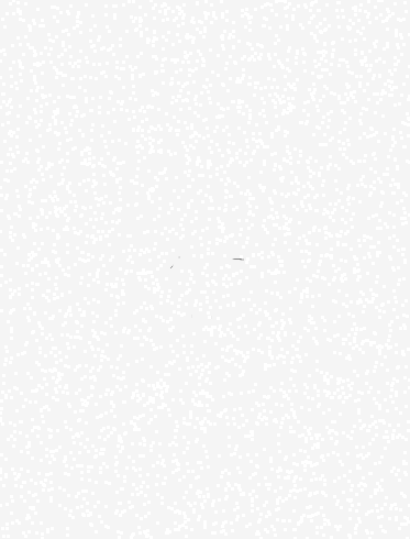 CC(=O)OC1C[C@]2(OC(C)=O)CCOC2C(OC(C)=O)[C@H]1OC(C)=O